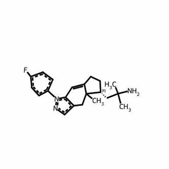 CC(C)(N)C[C@H]1CCC2=Cc3c(cnn3-c3ccc(F)cc3)CC21C